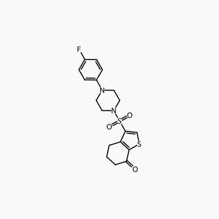 O=C1CCCc2c(S(=O)(=O)N3CCN(c4ccc(F)cc4)CC3)csc21